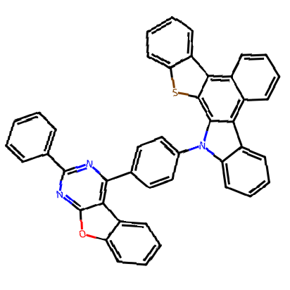 c1ccc(-c2nc(-c3ccc(-n4c5ccccc5c5c6ccccc6c6c7ccccc7sc6c54)cc3)c3c(n2)oc2ccccc23)cc1